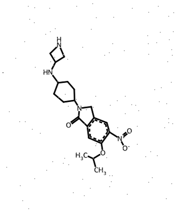 CC(C)Oc1cc2c(cc1[N+](=O)[O-])CN(C1CCC(NC3CNC3)CC1)C2=O